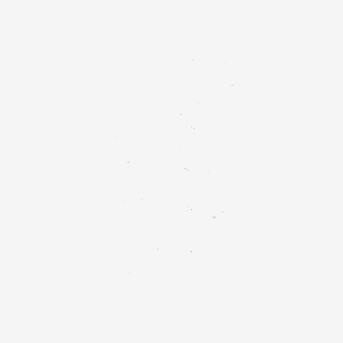 CCN(Cc1cc(F)ccc1-c1cn(CC(=O)O)c2ccc(C(F)(F)F)nc12)C(=O)NCc1ccccc1